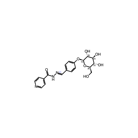 O=C(N/N=C/c1ccc(O[C@@H]2O[C@H](CO)[C@@H](O)[C@H](O)[C@H]2O)cc1)c1ccncc1